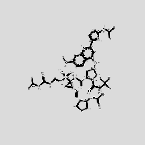 C=C[C@@H]1C[C@]1(NC(=O)[C@@H]1C[C@@H](Oc2cc(-c3csc(NC(C)C)n3)nc3cc(OC)ccc23)CN1C(=O)[C@@H](NC(=O)OC1CCCC1)C(C)(C)C)P(=O)(O)OCOC(=O)OC(C)C